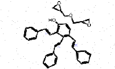 C(OCC1CO1)C1CO1.Oc1ccc(/C=C/c2ccccc2)c(/C=C/c2ccccc2)c1/C=C/c1ccccc1